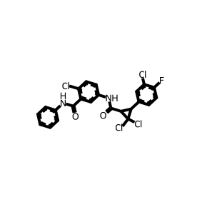 O=C(Nc1ccccc1)c1cc(NC(=O)C2C(c3ccc(F)c(Cl)c3)C2(Cl)Cl)ccc1Cl